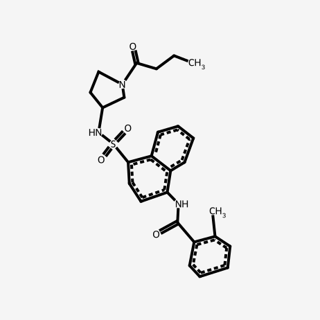 CCCC(=O)N1CCC(NS(=O)(=O)c2ccc(NC(=O)c3ccccc3C)c3ccccc23)C1